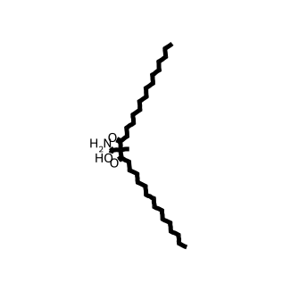 CCCCCCCCCCCCCCCC(=O)C(C)(C(=O)CCCCCCCCCCCCCCC)C(N)O